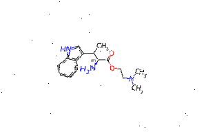 CC(c1c[nH]c2ccccc12)[C@H](N)C(=O)OCCN(C)C